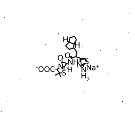 CC1(C)S[C@@H]2[C@@H](NC(=O)C(CC3CC[C@H]4CCC[C@@H]34)c3csc(N)n3)C(=O)N2[C@H]1C(=O)[O-].[Na+]